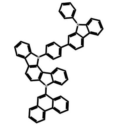 c1ccc(-n2c3ccccc3c3ccc(-c4ccc(-n5c6ccccc6c6ccc7c(c8ccccc8n7-c7cc8ccccc8c8ccccc78)c65)cc4)cc32)cc1